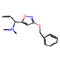 C=C[C@@H](c1cc(OCc2ccccc2)no1)N(C)C